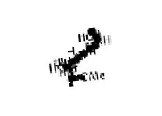 C#Cc1ccc(CNC(=O)[C@@H]2C[C@@H](O)CN2C(=O)[C@@H](NC(=O)N2CCC(N3CCC(c4cnc(N5CCc6[nH]c7nnc(-c8ccccc8O)cc7c6[C@@H]5C)nc4)CC3)CC2)C(C)(C)C)c(OCCCOC)c1